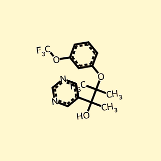 CC(C)(Oc1cccc(OC(F)(F)F)c1)C(C)(O)c1cncnc1